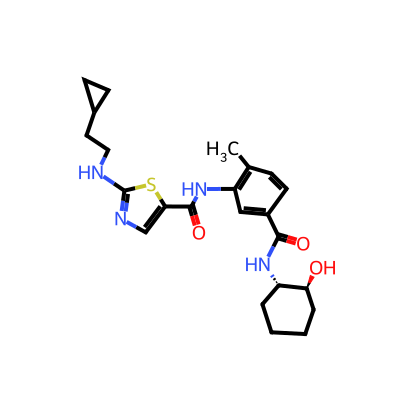 Cc1ccc(C(=O)N[C@H]2CCCC[C@@H]2O)cc1NC(=O)c1cnc(NCCC2CC2)s1